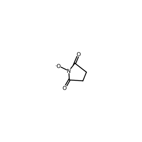 [O]N1C(=O)CCC1=O